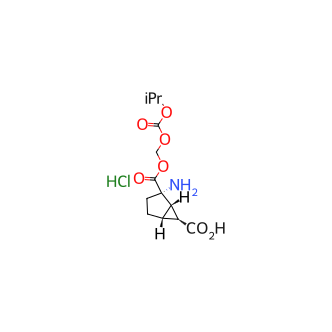 CC(C)OC(=O)OCOC(=O)[C@]1(N)CC[C@H]2[C@H](C(=O)O)[C@H]21.Cl